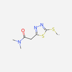 [CH2]Sc1nnc(CC(=O)N(C)C)s1